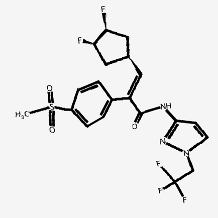 CS(=O)(=O)c1ccc(/C(=C\[C@H]2C[C@@H](F)[C@@H](F)C2)C(=O)Nc2ccn(CC(F)(F)F)n2)cc1